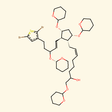 OC(CCC/C=C\C[C@@H]1[C@@H](/C=C/C(CCc2cc(Br)sc2Br)O[C@H]2CCCCO2)[C@H](OC2CCCCO2)C[C@@H]1OC1CCCCO1)COC1CCCCO1